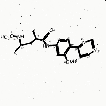 COc1cc(NC(=O)C(C)CC(C)NC(=O)O)ccc1-c1ccncn1